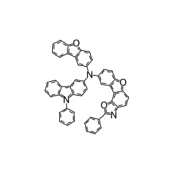 c1ccc(-c2nc3ccc4oc5ccc(N(c6ccc7oc8ccccc8c7c6)c6ccc7c(c6)c6ccccc6n7-c6ccccc6)cc5c4c3o2)cc1